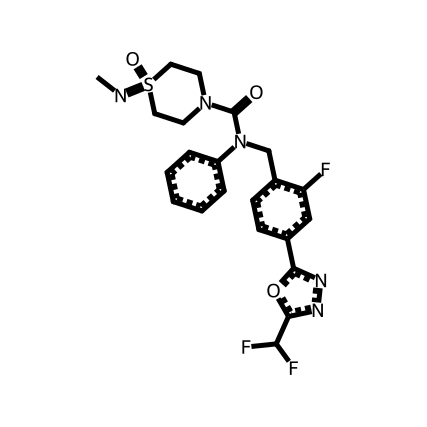 CN=S1(=O)CCN(C(=O)N(Cc2ccc(-c3nnc(C(F)F)o3)cc2F)c2ccccc2)CC1